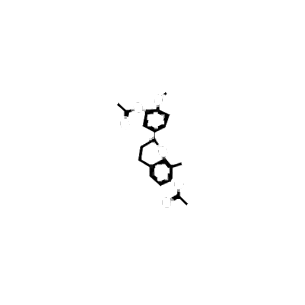 COc1ccc([C@@H]2CCc3ccc(OC(C)=O)c(C)c3O2)cc1OC(C)=O